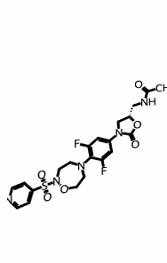 CC(=O)NC[C@H]1CN(c2cc(F)c(N3CCON(S(=O)(=O)c4ccncc4)CC3)c(F)c2)C(=O)O1